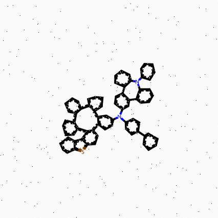 c1ccc(-c2ccc(N(c3ccc4c(c3)-c3ccccc3N(c3ccccc3)c3ccccc3-4)c3ccc4c(c3)c3ccccc3c3ccccc3c3ccccc3c3c4ccc4sc5ccccc5c43)cc2)cc1